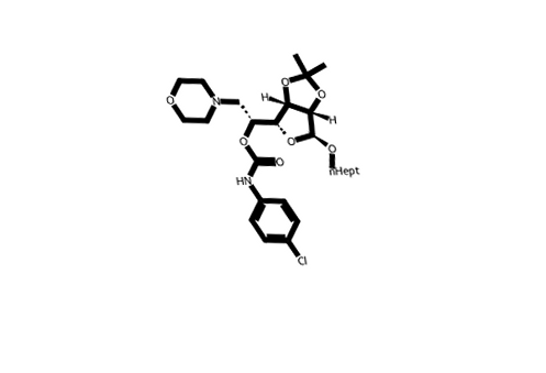 CCCCCCCO[C@H]1O[C@H]([C@@H](CN2CCOCC2)OC(=O)Nc2ccc(Cl)cc2)[C@@H]2OC(C)(C)O[C@H]12